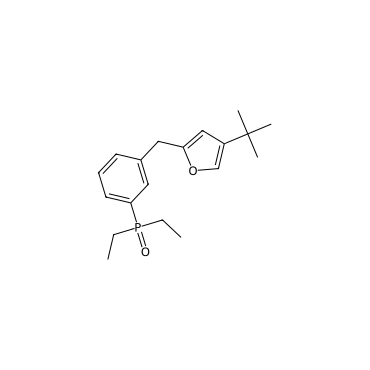 CCP(=O)(CC)c1cccc(Cc2cc(C(C)(C)C)co2)c1